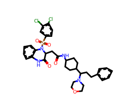 O=C(CC1C(=O)Nc2ccccc2N1S(=O)(=O)c1ccc(Cl)c(Cl)c1)NC1CCC(C(CCc2ccccc2)N2CCOCC2)CC1